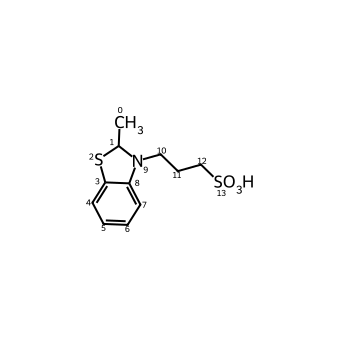 CC1Sc2ccccc2N1CCCS(=O)(=O)O